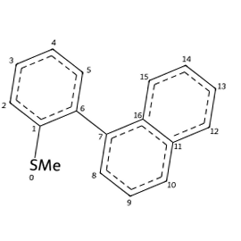 CSc1ccccc1-c1cccc2ccccc12